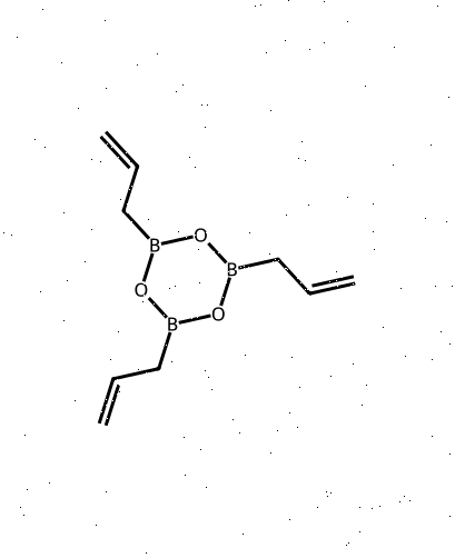 C=CCB1OB(CC=C)OB(CC=C)O1